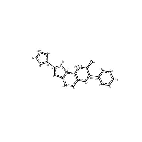 O=c1[nH]c2c(cnc3cc(-c4ccsc4)nn32)cc1-c1ccccc1